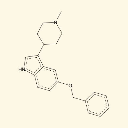 CN1CCC(c2c[nH]c3ccc(OCc4ccccc4)cc23)CC1